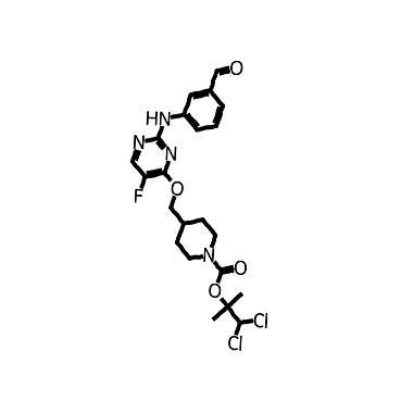 CC(C)(OC(=O)N1CCC(COc2nc(Nc3cccc(C=O)c3)ncc2F)CC1)C(Cl)Cl